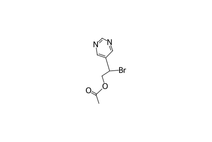 CC(=O)OCC(Br)c1cncnc1